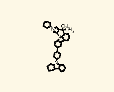 CC1(C)c2cn(-c3ccccc3)cc2-n2c3ccc(-c4ccc(-n5c6ccccc6c6ccccc65)cc4)cc3c3cccc1c32